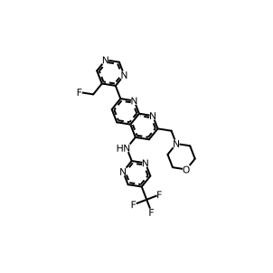 FCc1cncnc1-c1ccc2c(Nc3ncc(C(F)(F)F)cn3)cc(CN3CCOCC3)nc2n1